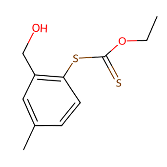 CCOC(=S)Sc1ccc(C)cc1CO